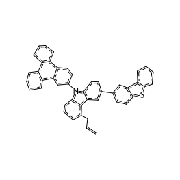 C=CCc1cccc2c1c1cc(-c3ccc4sc5ccccc5c4c3)ccc1n2-c1ccc2c3ccccc3c3ccccc3c2c1